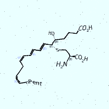 CCCCC/C=C\C\C=C/C=C/C=C/[C@@H](SC[C@H](N)C(=O)O)[C@H](O)CCCC(=O)O